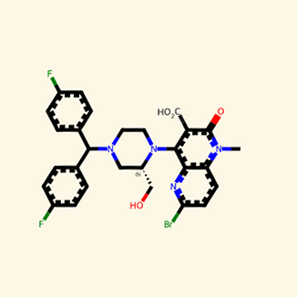 Cn1c(=O)c(C(=O)O)c(N2CCN(C(c3ccc(F)cc3)c3ccc(F)cc3)C[C@H]2CO)c2nc(Br)ccc21